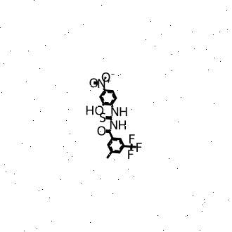 Cc1cc(C(=O)NC(=S)Nc2ccc([N+](=O)[O-])cc2O)cc(C(F)(F)F)c1